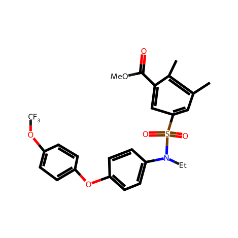 CCN(c1ccc(Oc2ccc(OC(F)(F)F)cc2)cc1)S(=O)(=O)c1cc(C)c(C)c(C(=O)OC)c1